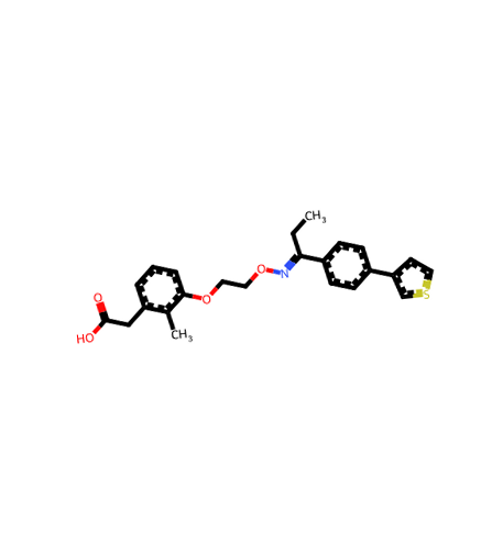 CC/C(=N\OCCOc1cccc(CC(=O)O)c1C)c1ccc(-c2ccsc2)cc1